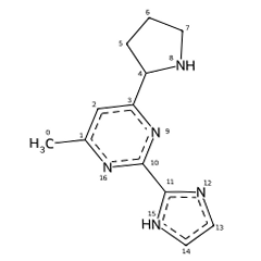 Cc1cc(C2CCCN2)nc(-c2ncc[nH]2)n1